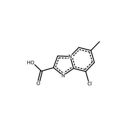 Cc1cc(Cl)c2nc(C(=O)O)cn2c1